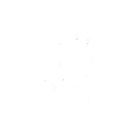 CC(C)(C)OC(=O)N(SSc1ncccc1[N+](=O)[O-])[C@@H](CS)C(=O)O